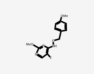 COc1ccc(CONc2nc(OC)ncc2F)cc1